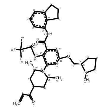 C=CC(=O)C1C[C@H](C)N(c2nc(OC[C@H]3CCCN3C)nc(C(=O)Nc3cccc4c3CCC4)c2NC(=O)C(F)(F)F)[C@@H](C)C1